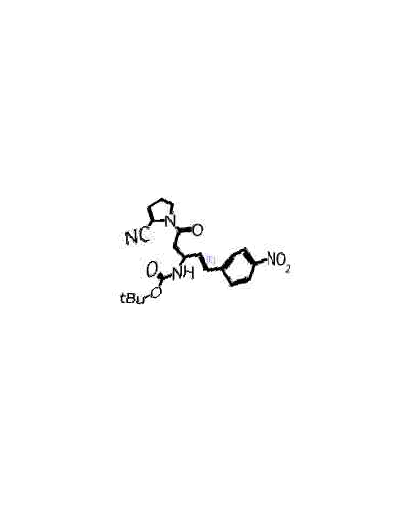 CC(C)(C)OC(=O)NC(/C=C/c1ccc([N+](=O)[O-])cc1)CC(=O)N1CCCC1C#N